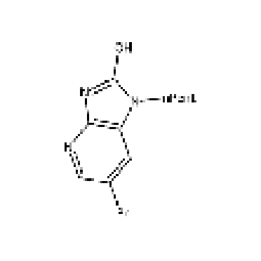 CCCCCn1c(O)nc2ncc(Br)cc21